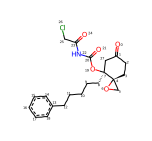 O=C1CC[C@]2(CO2)[C@@](CCCCCc2ccccc2)(OC(=O)NC(=O)CCl)C1